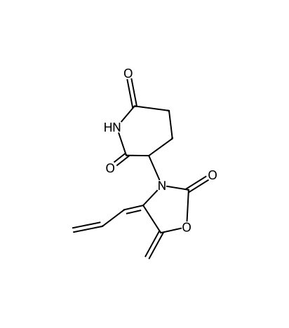 C=C/C=c1\c(=C)oc(=O)n1C1CCC(=O)NC1=O